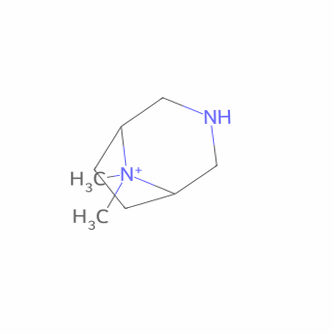 C[N+]1(C)C2CCC1CNC2